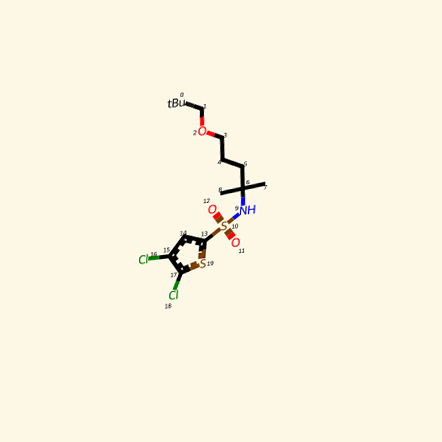 CC(C)(C)COCCCC(C)(C)NS(=O)(=O)c1cc(Cl)c(Cl)s1